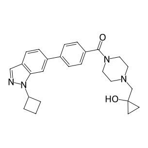 O=C(c1ccc(-c2ccc3cnn(C4CCC4)c3c2)cc1)N1CCN(CC2(O)CC2)CC1